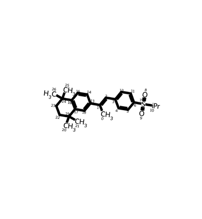 CC(=Cc1ccc(S(=O)(=O)C(C)C)cc1)c1ccc2c(c1)C(C)(C)CCC2(C)C